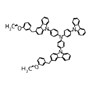 C=COc1cccc(Cc2ccc3c(c2)c2ccccc2n3-c2ccc(N(c3ccc(-n4c5ccccc5c5ccccc54)cc3)c3ccc(-n4c5ccccc5c5cc(Cc6cccc(OC=C)c6)ccc54)cc3)cc2)c1